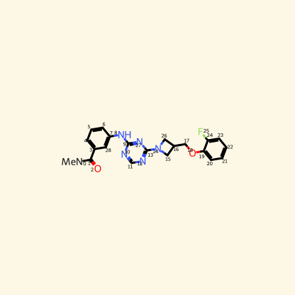 CNC(=O)c1cccc(Nc2ncnc(N3CC(COc4ccccc4F)C3)n2)c1